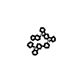 c1ccc(-n2c3ccccc3c3cc(-c4cccc(-n5c6ccccc6c6cc7c8ccccc8n(-c8ccc9ccccc9c8)c7cc65)c4)ccc32)cc1